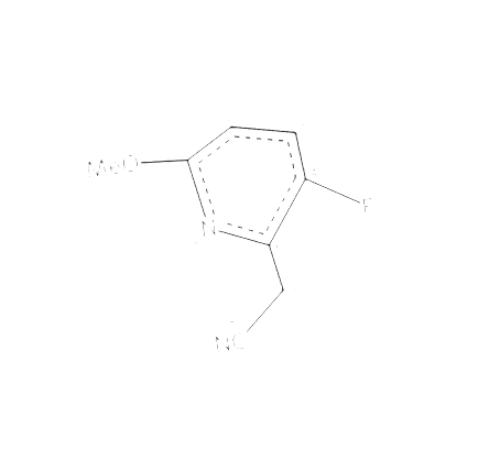 COc1ccc(F)c(CC#N)n1